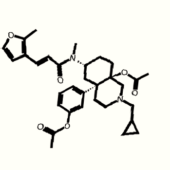 CC(=O)Oc1cccc([C@@]23CCN(CC4CC4)C[C@@]2(OC(C)=O)CC[C@@H](N(C)C(=O)/C=C/c2ccoc2C)C3)c1